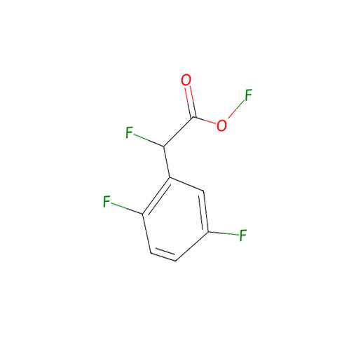 O=C(OF)C(F)c1cc(F)ccc1F